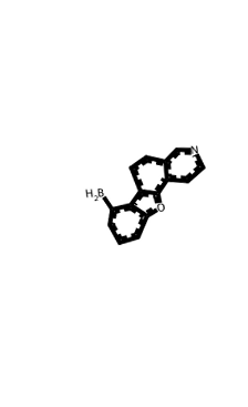 Bc1cccc2oc3c4ccncc4ccc3c12